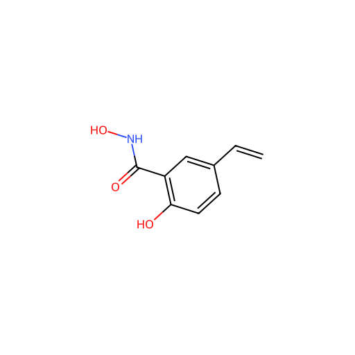 C=Cc1ccc(O)c(C(=O)NO)c1